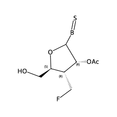 CC(=O)O[C@H]1C(B=S)O[C@H](CO)[C@H]1CF